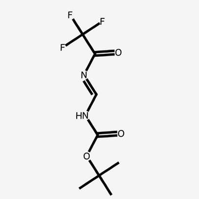 CC(C)(C)OC(=O)NC=NC(=O)C(F)(F)F